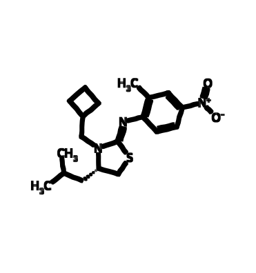 Cc1cc([N+](=O)[O-])ccc1/N=C1\SC[C@H](CC(C)C)N1CC1CCC1